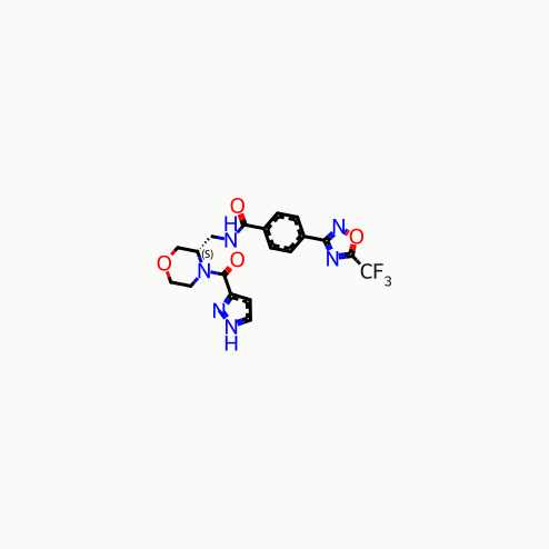 O=C(NC[C@H]1COCCN1C(=O)c1cc[nH]n1)c1ccc(-c2noc(C(F)(F)F)n2)cc1